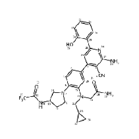 N#Cc1c(-c2ccc(N3CCC(NC(=O)C(F)(F)F)C3)c(N(CC(N)=O)CC3CC3)c2)cc(-c2ccccc2O)nc1N